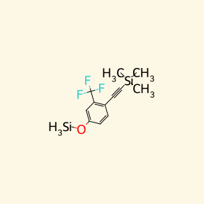 C[Si](C)(C)C#Cc1ccc(O[SiH3])cc1C(F)(F)F